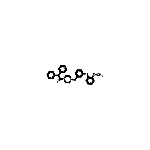 COc1ccccc1Oc1cccc(CN2CCN(C(=O)C(c3ccccc3)c3ccccc3)CC2)c1